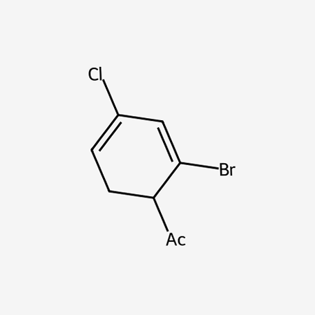 CC(=O)C1CC=C(Cl)C=C1Br